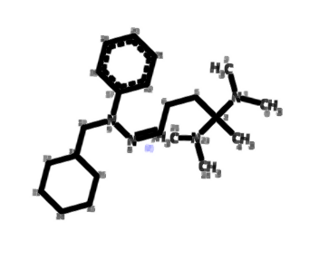 CN(C)C(C)(CC/C=N\N(CC1CCCCC1)c1ccccc1)N(C)C